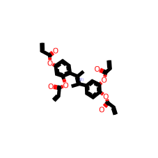 C=CC(=O)Oc1ccc(/C(C)=C(\C)c2ccc(OC(=O)C=C)c(OC(=O)C=C)c2)c(OC(=O)C=C)c1